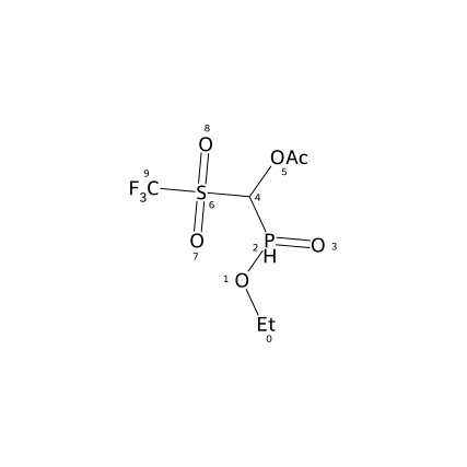 CCO[PH](=O)C(OC(C)=O)S(=O)(=O)C(F)(F)F